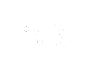 CC(C)[C@H](NC(=O)CCCCCN1C(=O)C(Sc2ccccc2)=C(Sc2ccccc2)C1=O)C(=O)N[C@@H](CCCNC(N)=O)C(=O)Nc1ccc(CO)cc1